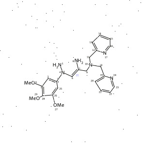 COc1cc(N(N)/C=C(\N)CN(Cc2ccccn2)Cc2ccccn2)cc(OC)c1OC